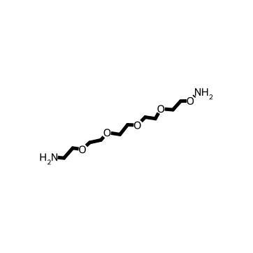 NCCOCCOCCOCCOCCON